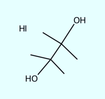 CC(C)(O)C(C)(C)O.I